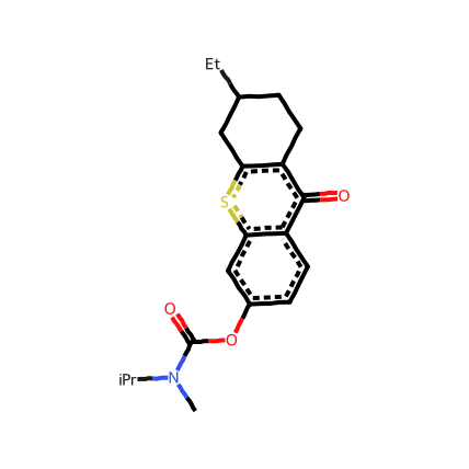 CCC1CCc2c(sc3cc(OC(=O)N(C)C(C)C)ccc3c2=O)C1